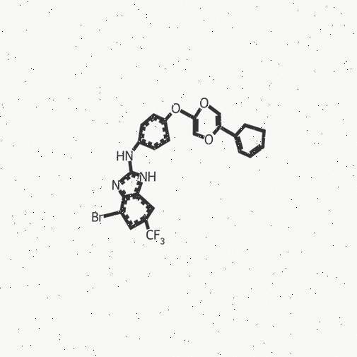 FC(F)(F)c1cc(Br)c2nc(Nc3ccc(OC4=COC(C5=CC=CCC5)=CO4)cc3)[nH]c2c1